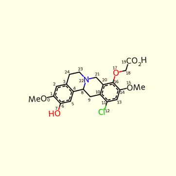 COc1cc2c(cc1O)C1Cc3c(Cl)cc(OC)c(OCC(=O)O)c3CN1CC2